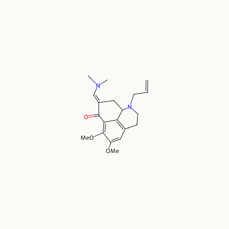 C=CCN1CCc2cc(OC)c(OC)c3c2C1CC(=CN(C)C)C3=O